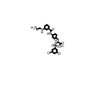 NN=CNc1cccc(C(=O)Nc2ccc(C[C@H](NS(=O)(=O)c3cc(Cl)cc(Cl)c3)C(=O)O)cc2)c1